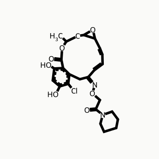 CC1CC2OC2/C=C\C=C\C(=NOCC(=O)N2CCCCC2)Cc2c(Cl)c(O)cc(O)c2C(=O)O1